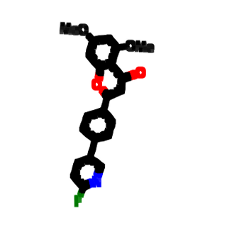 COc1cc(OC)c2c(=O)cc(-c3ccc(-c4ccc(F)nc4)cc3)oc2c1